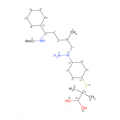 CONC(CCC(C)CN(N)C1CCC(SC(C)(C)C(O)O)CC1)C1CCCCC1